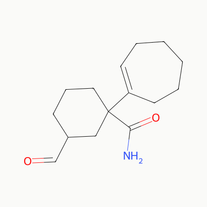 NC(=O)C1(C2=CCCCCC2)CCCC(C=O)C1